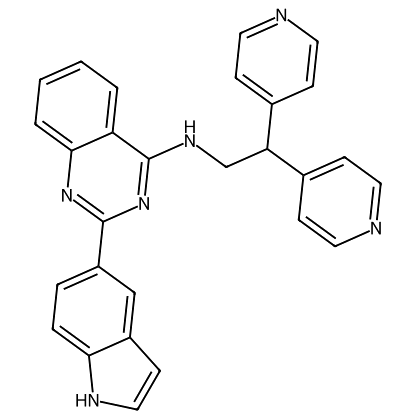 c1ccc2c(NCC(c3ccncc3)c3ccncc3)nc(-c3ccc4[nH]ccc4c3)nc2c1